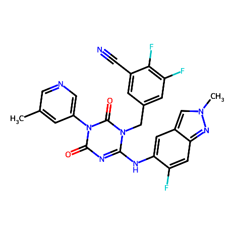 Cc1cncc(-n2c(=O)nc(Nc3cc4cn(C)nc4cc3F)n(Cc3cc(F)c(F)c(C#N)c3)c2=O)c1